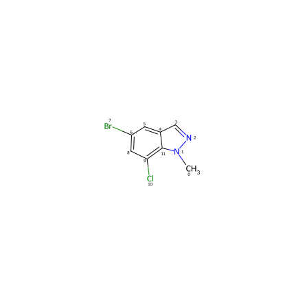 Cn1ncc2cc(Br)cc(Cl)c21